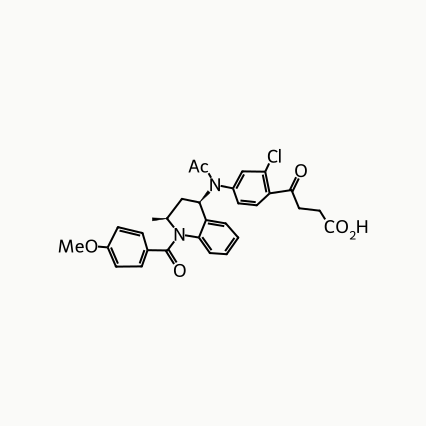 COc1ccc(C(=O)N2c3ccccc3[C@H](N(C(C)=O)c3ccc(C(=O)CCC(=O)O)c(Cl)c3)C[C@@H]2C)cc1